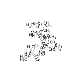 CC(C)CCCC(C)CCC1(CCC(C)CCCC(C)C)Oc2cc(-c3ccc(-c4cc5c(s4)-c4sc(-c6ccc(-c7cc8c(s7)-c7sccc7OC8(CCC(C)CCCC(C)C)CCC(C)CCCC(C)C)c7nsnc67)cc4OC5(CCC(C)CCCC(C)C)CCC(C)CCCC(C)C)c4nsnc34)sc2-c2sc(-c3cccc4nsnc34)cc21